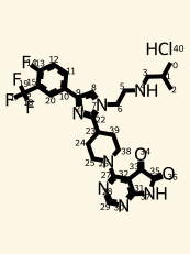 CC(C)CNCCn1cc(-c2ccc(F)c(C(F)(F)F)c2)nc1C1CCN(c2ncnc3c2C(=O)C(=O)N3)CC1.Cl